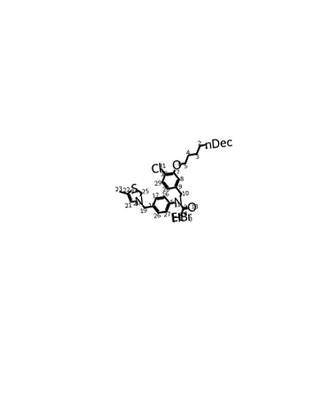 Br.CCCCCCCCCCCCCCOc1cc(CN(C(=O)CC)c2ccc(CN3C=C(C)SC3)cc2)ccc1Cl